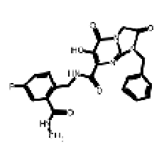 CNC(=O)c1cc(F)ccc1CNC(=O)c1nc2n(c(=O)c1O)CC(=O)N2Cc1ccccc1